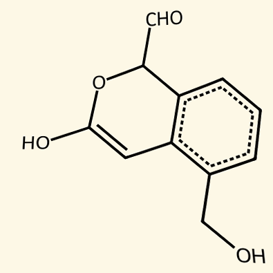 O=CC1OC(O)=Cc2c(CO)cccc21